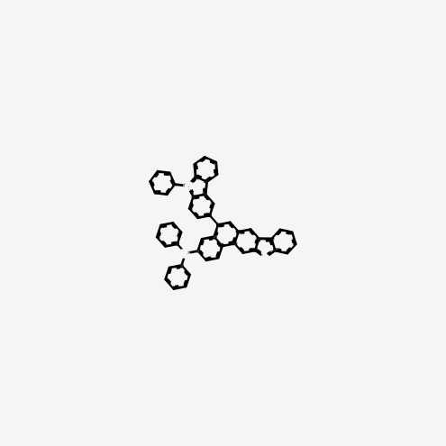 c1ccc(N(c2ccccc2)c2ccc3c(c2)c(-c2ccc4c(c2)c2ccccc2n4-c2ccccc2)cc2cc4c(cc23)sc2ccccc24)cc1